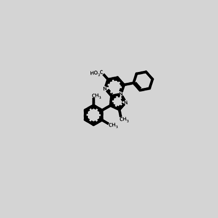 Cc1cccc(C)c1-c1c(C)nn2c(C3=CCCCC3)cc(C(=O)O)nc12